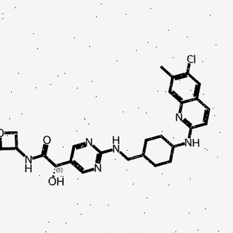 Cc1cc2nc(NC3CCC(CNc4ncc([C@H](O)C(=O)NC5COC5)cn4)CC3)ccc2cc1Cl